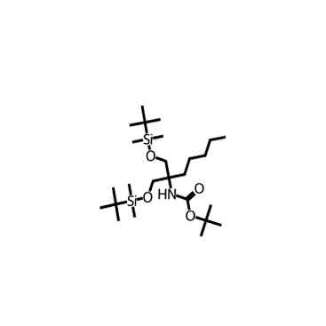 CCCCCC(CO[Si](C)(C)C(C)(C)C)(CO[Si](C)(C)C(C)(C)C)NC(=O)OC(C)(C)C